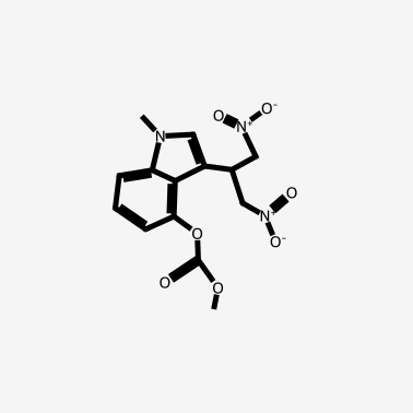 COC(=O)Oc1cccc2c1c(C(C[N+](=O)[O-])C[N+](=O)[O-])cn2C